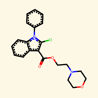 O=C(OCCN1CCOCC1)c1c(Cl)n(-c2ccccc2)c2ccccc12